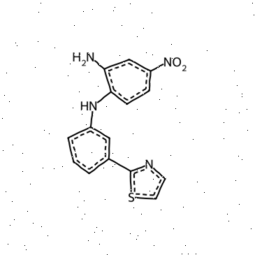 Nc1cc([N+](=O)[O-])ccc1Nc1cccc(-c2nccs2)c1